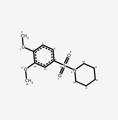 COc1ccc(S(=O)(=O)N2CCCCC2)cc1OC